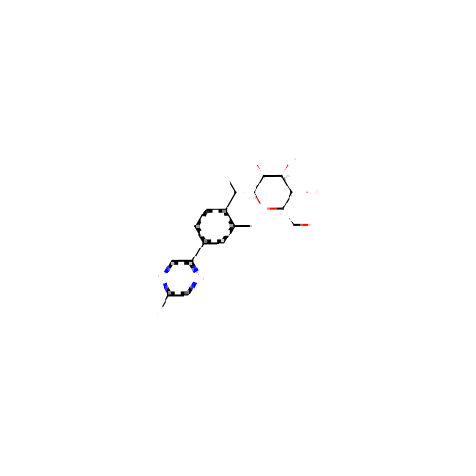 Cc1cc(-c2cnc(C(F)(F)F)cn2)ccc1C(C)[C@H]1O[C@H](CO)[C@@H](O)[C@H](O)[C@@H]1O